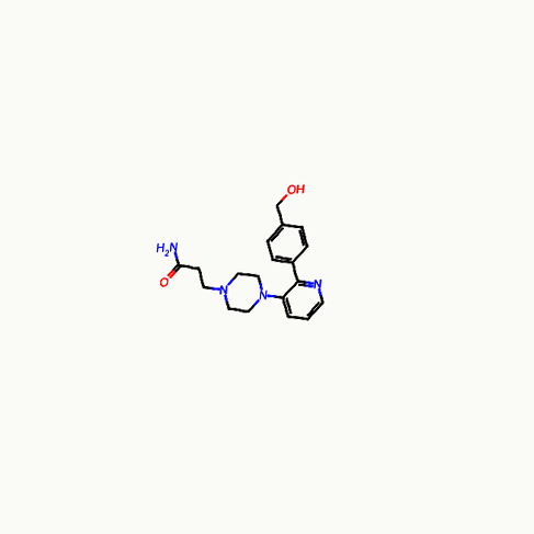 NC(=O)CCN1CCN(c2cccnc2-c2ccc(CO)cc2)CC1